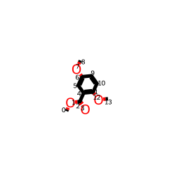 COC(=O)c1cc(OC)ccc1OC